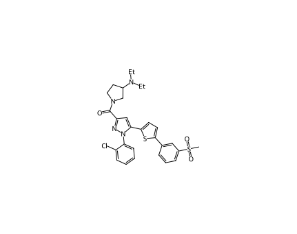 CCN(CC)C1CCN(C(=O)c2cc(-c3ccc(-c4cccc(S(C)(=O)=O)c4)s3)n(-c3ccccc3Cl)n2)C1